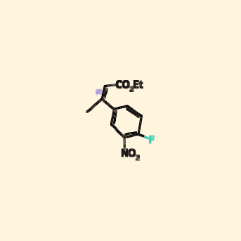 CCOC(=O)/C=C(/C)c1ccc(F)c([N+](=O)[O-])c1